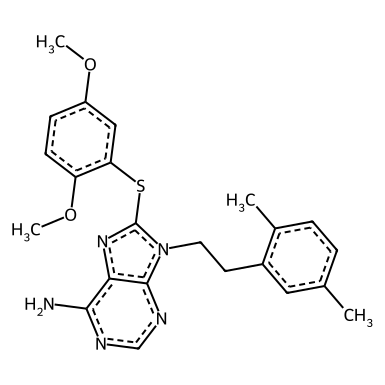 COc1ccc(OC)c(Sc2nc3c(N)ncnc3n2CCc2cc(C)ccc2C)c1